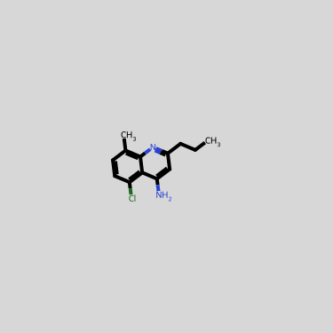 CCCc1cc(N)c2c(Cl)ccc(C)c2n1